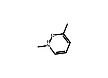 CC1=CC=C[SiH](C)O1